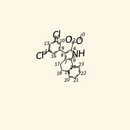 COC(=O)c1[nH]c2c(c1-c1cc(Cl)cc(Cl)c1)CCc1ccccc1-2